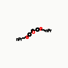 CCC/C=C/COc1ccc(-c2ccc(-c3ccc(OC/C=C/CCC)cc3)o2)cc1